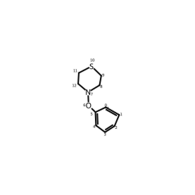 [c]1ccccc1ON1CCSCC1